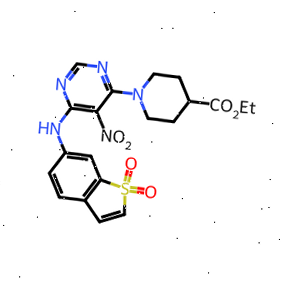 CCOC(=O)C1CCN(c2ncnc(Nc3ccc4c(c3)S(=O)(=O)C=C4)c2[N+](=O)[O-])CC1